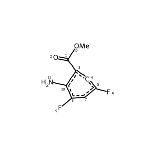 COC(=O)c1cc(F)cc(F)c1N